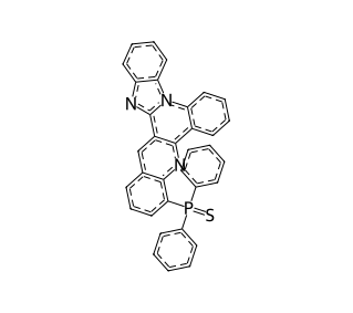 S=P(c1ccccc1)(c1ccccc1)c1cccc2cc3c(nc12)c1ccccc1n1c2ccccc2nc31